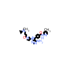 Cc1ccnc(NC(=O)c2ccc(-c3nn([C@@H]4CCN(C(=O)C=CCN(C)C5CC5)C4)c4ncnc(N)c34)cc2)c1